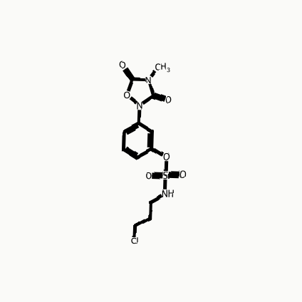 Cn1c(=O)on(-c2cccc(OS(=O)(=O)NCCCCl)c2)c1=O